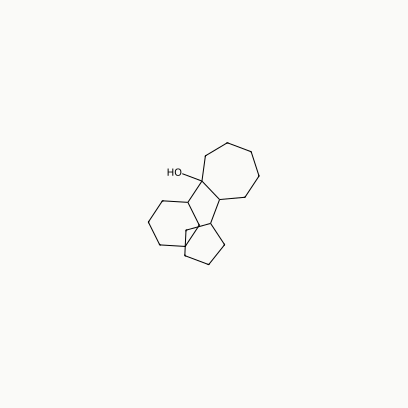 OC1(C2CCCCC2)CCCCCC1C1CCCC1